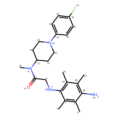 Cc1c(C)c(NCC(=O)N(C)C2CCN(c3ccc(F)cc3)CC2)c(C)c(C)c1N